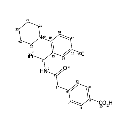 CC(C)C(NC(=O)Cc1ccc(C(=O)O)cc1)c1cc(Cl)ccc1N1CCCCC1